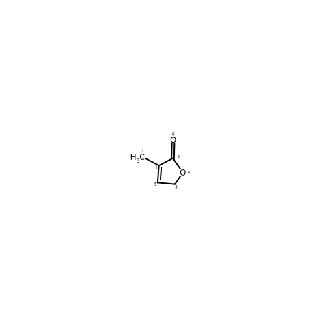 CC1=[C]COC1=O